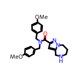 COc1ccc(CN(Cc2ccc(OC)cc2)C(=O)c2cc3n(n2)CCCNC3)cc1